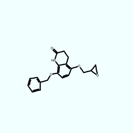 O=C1CCc2c(OCC3CO3)ccc(OCc3ccccc3)c2N1